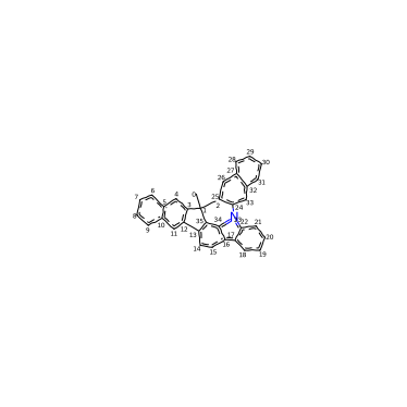 CC1(C)c2cc3ccccc3cc2-c2ccc3c4ccccc4n(-c4ccc5ccccc5c4)c3c21